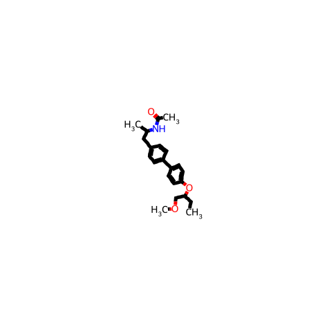 CCC(COC)Oc1ccc(-c2ccc(CC(C)NC(C)=O)cc2)cc1